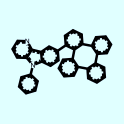 c1ccc(-n2c3ccc(-c4cccc5c4-c4ccccc4-c4ccccc4-c4ccccc4-5)cc3c3ncccc32)cc1